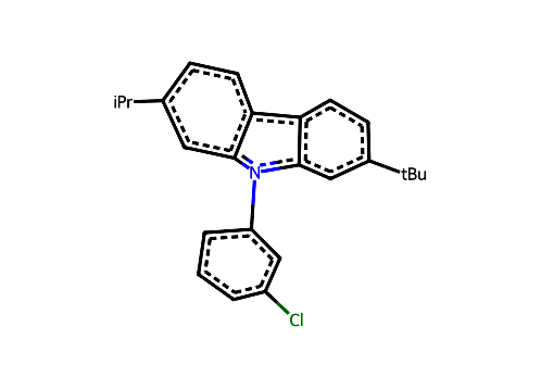 CC(C)c1ccc2c3ccc(C(C)(C)C)cc3n(-c3cccc(Cl)c3)c2c1